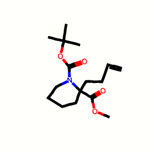 C=CCCC1(C(=O)OC)CCCCN1C(=O)OC(C)(C)C